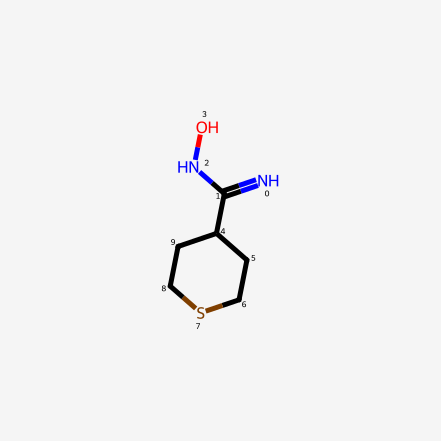 N=C(NO)C1CCSCC1